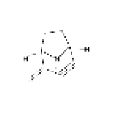 CN1[C@@H]2C#CC(=O)[C@H]1CC2